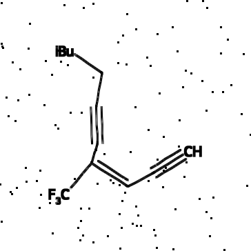 C#C/C=C(\C#CCC(C)CC)C(F)(F)F